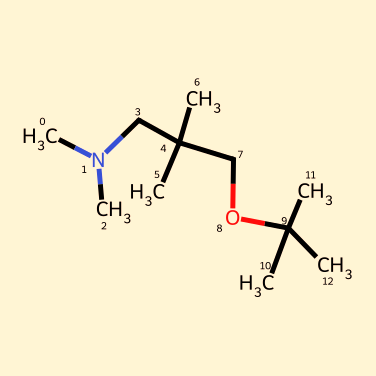 CN(C)CC(C)(C)COC(C)(C)C